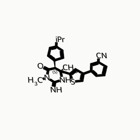 CC(C)c1ccc([C@@H]2C(=O)N(C)C(=N)N[C@]2(C)c2cc(-c3cccc(C#N)c3)cs2)cc1